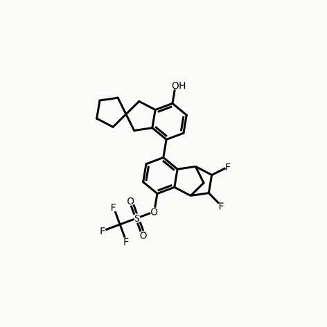 O=S(=O)(Oc1ccc(-c2ccc(O)c3c2CC2(CCCC2)C3)c2c1C1CC2C(F)C1F)C(F)(F)F